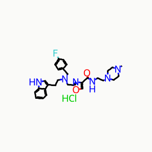 CN1CCN(CCNC(=O)c2coc(CN(CCc3c[nH]c4ccccc34)Cc3ccc(F)cc3)n2)CC1.Cl